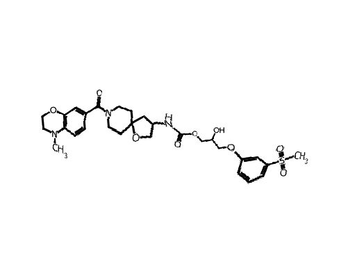 CN1CCOc2cc(C(=O)N3CCC4(CC3)CC(NC(=O)OCC(O)COc3cccc(S(C)(=O)=O)c3)CO4)ccc21